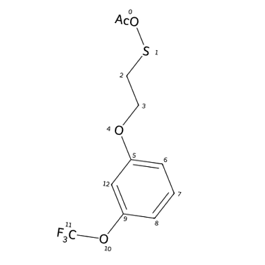 CC(=O)OSCCOc1cccc(OC(F)(F)F)c1